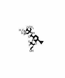 CCC(CC)(NC(=O)c1ccc(C2CC2)c(O[C@H](CCO)C(F)(F)F)n1)C(=O)NC